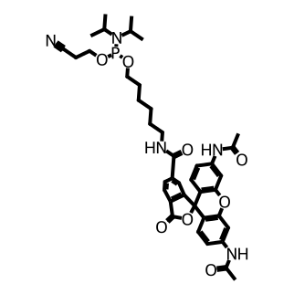 CC(=O)Nc1ccc2c(c1)Oc1cc(NC(C)=O)ccc1C21OC(=O)c2ccc(C(=O)NCCCCCCOP(OCCC#N)N(C(C)C)C(C)C)cc21